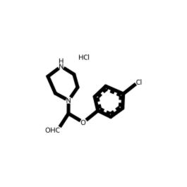 Cl.O=CC(Oc1ccc(Cl)cc1)N1CCNCC1